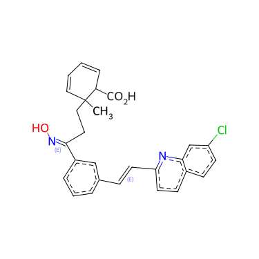 CC1(CC/C(=N\O)c2cccc(/C=C/c3ccc4ccc(Cl)cc4n3)c2)C=CC=CC1C(=O)O